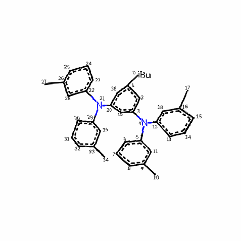 CCC(C)c1cc(N(c2cccc(C)c2)c2cccc(C)c2)cc(N(c2cccc(C)c2)c2cccc(C)c2)c1